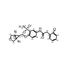 NS(=O)(=O)c1cc(NC(=O)Cc2ccccc2Cl)ccc1OCC1[C@H]2COC[C@@H]12